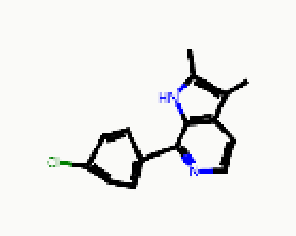 Cc1[nH]c2c(-c3ccc(Cl)cc3)nccc2c1C